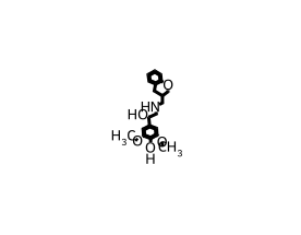 COc1cc(C(O)CNCC2COc3ccccc3C2)cc(OC)c1O